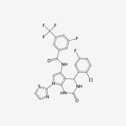 O=C1Nc2c(c(NC(=O)c3cc(F)cc(C(F)(F)F)c3)cn2-c2nccs2)C(c2cc(F)ccc2Cl)N1